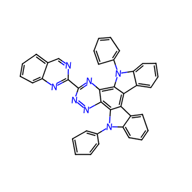 c1ccc(-n2c3ccccc3c3c4c5ccccc5n(-c5ccccc5)c4c4nc(-c5ncc6ccccc6n5)nnc4c32)cc1